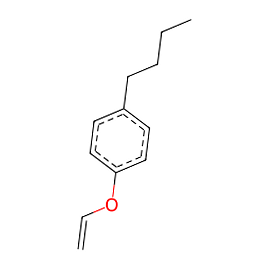 C=COc1ccc(CCCC)cc1